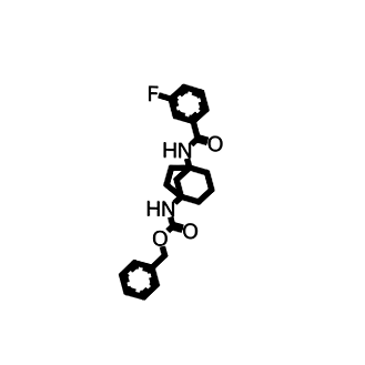 O=C(NC12CCCC(NC(=O)c3cccc(F)c3)(CC1)C2)OCc1ccccc1